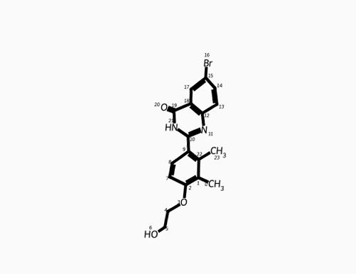 Cc1c(OCCO)ccc(-c2nc3ccc(Br)cc3c(=O)[nH]2)c1C